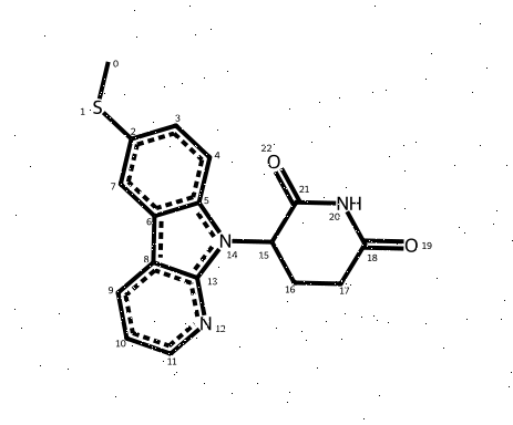 CSc1ccc2c(c1)c1cccnc1n2C1CCC(=O)NC1=O